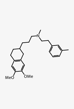 COc1cc2c(cc1OC)CC(CCCN(C)CCc1cccc(C)c1)CC2